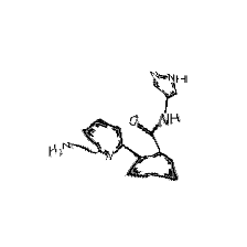 Nc1cccc(-c2ccccc2C(=O)Nc2cn[nH]c2)n1